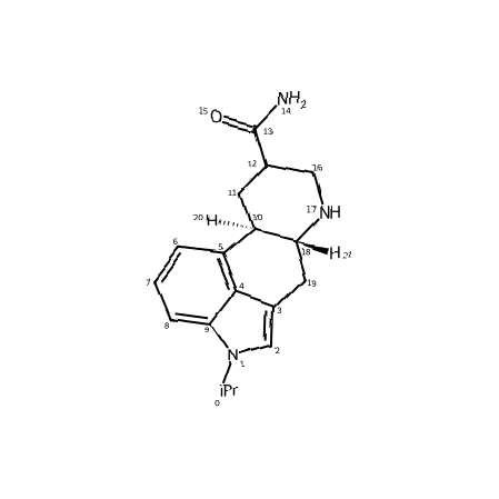 CC(C)n1cc2c3c(cccc31)[C@H]1CC(C(N)=O)CN[C@@H]1C2